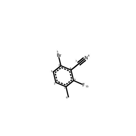 Cc1ccc(Br)c(C#N)c1F